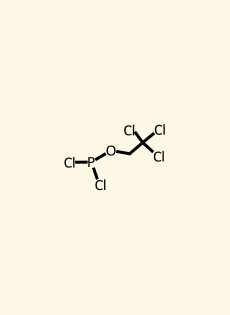 ClP(Cl)OCC(Cl)(Cl)Cl